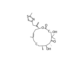 C=C(Cc1csc(C)n1)[C@@H]1C/C=C(/C)CCC[C@H](C)[C@H](O)[C@@H](C)C(=O)C(C)(C)[C@@H](O)CC(=O)O1